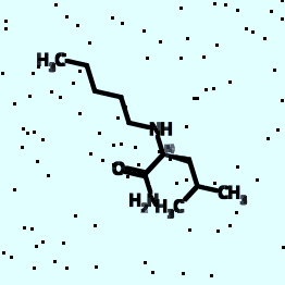 CCCCCN[C@@H](CC(C)C)C(N)=O